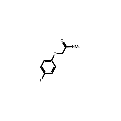 CNC(=O)COc1ccc(F)cc1